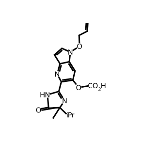 C=CCOn1ccc2nc(C3=NC(C)(C(C)C)C(=O)N3)c(OC(=O)O)cc21